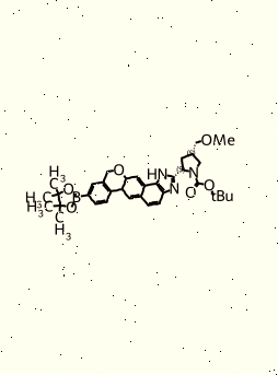 COC[C@H]1C[C@@H](c2nc3ccc4c(c3[nH]2)=CC2OCc3cc(B5OC(C)(C)C(C)(C)O5)ccc3C2C=4)N(C(=O)OC(C)(C)C)C1